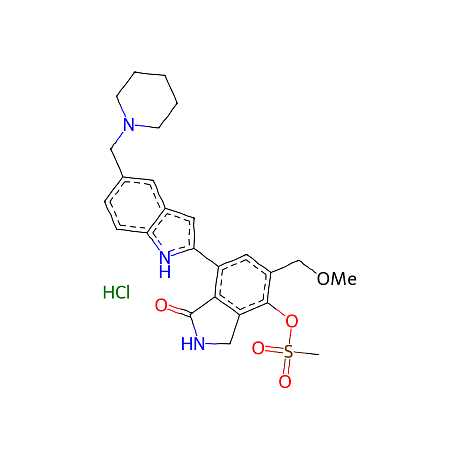 COCc1cc(-c2cc3cc(CN4CCCCC4)ccc3[nH]2)c2c(c1OS(C)(=O)=O)CNC2=O.Cl